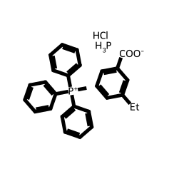 CCc1cccc(C(=O)[O-])c1.C[P+](c1ccccc1)(c1ccccc1)c1ccccc1.Cl.P